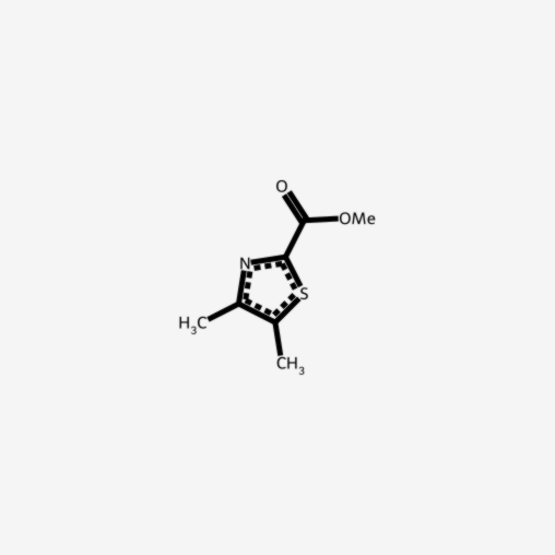 COC(=O)c1nc(C)c(C)s1